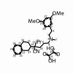 COc1cc(CCN(C)CCCC(C#N)(C(C)C)C2CCc3ccccc3C2)cc(OC)c1.O=C(O)C(=O)O